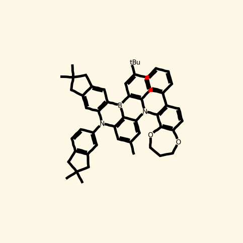 Cc1cc2c3c(c1)N(c1c(-c4ccccc4)ccc4c1OCCCO4)c1ccc(C(C)(C)C)cc1B3c1cc3c(cc1N2c1ccc2c(c1)CC(C)(C)C2)CC(C)(C)C3